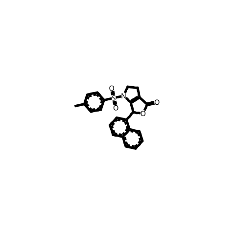 Cc1ccc(S(=O)(=O)N2CCC3=C2C(c2cccc4ccccc24)OC3=O)cc1